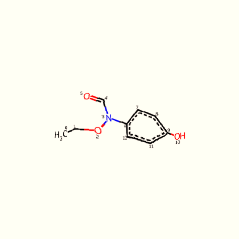 CCON(C=O)c1ccc(O)cc1